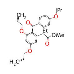 C=CCOc1cc(OCC=C)c(C(=O)c2ccc(OC(C)C)cc2)c(C(CC)C(=O)OC)c1